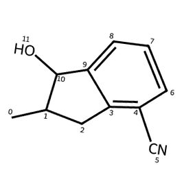 CC1Cc2c(C#N)cccc2C1O